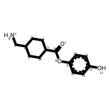 NCC1CCC(C(=O)Oc2ccc(O)cc2)CC1